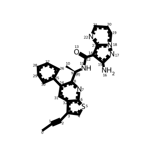 CC#Cc1csc2nc([C@@H](C)NC(=O)c3c(N)nn4cccnc34)c(-c3ccccc3)cc12